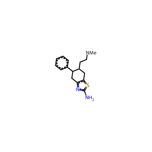 CNCCC1Cc2sc(N)nc2CC1c1ccccc1